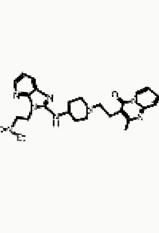 CCN(CC)CCn1c(NC2CCN(CCc3c(C)nc4ccccn4c3=O)CC2)nc2cccnc21